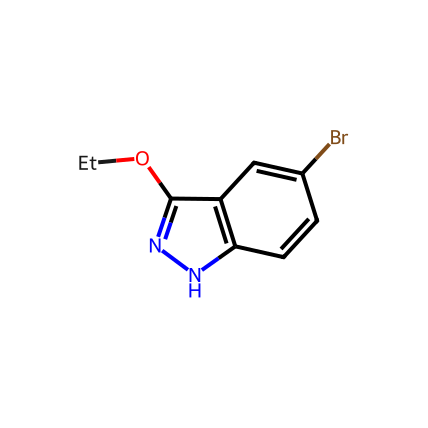 CCOc1n[nH]c2ccc(Br)cc12